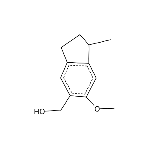 COc1cc2c(cc1CO)CCC2C